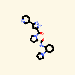 O=C(Nc1ccccc1-n1cccc1)[C@@H]1CCCN1C(=O)c1cc(-c2cccnc2)n[nH]1